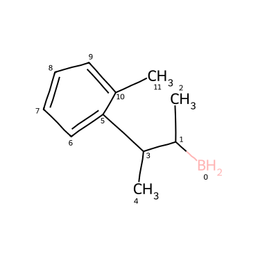 BC(C)C(C)c1ccccc1C